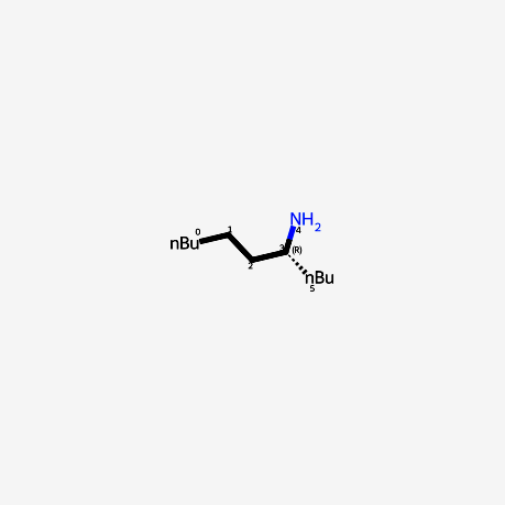 CCCCCC[C@H](N)CCCC